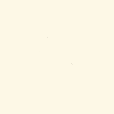 Brc1ccc(-c2ccccn2)cc1Br